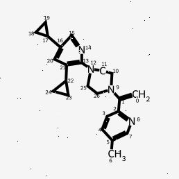 C=C(c1ccc(C)cn1)N1CCN(c2ncc(C3CC3)cc2C2CC2)CC1